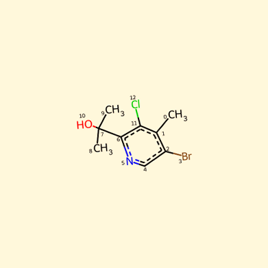 Cc1c(Br)cnc(C(C)(C)O)c1Cl